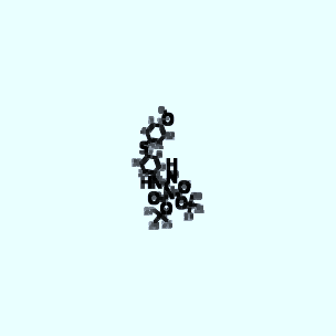 COc1ccc(Sc2ccc(NC(=N)N(C(=O)OC(C)(C)C)C(=O)OC(C)(C)C)cc2)cc1